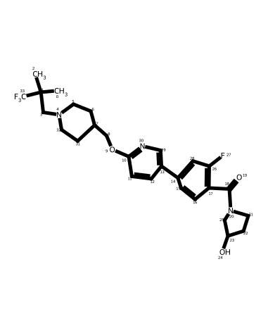 CC(C)(CN1CCC(COc2ccc(-c3ccc(C(=O)N4CCC(O)C4)c(F)c3)cn2)CC1)C(F)(F)F